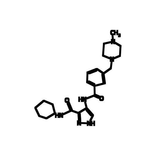 CN1CCN(Cc2cccc(C(=O)Nc3c[nH]nc3C(=O)NC3CCCCC3)c2)CC1